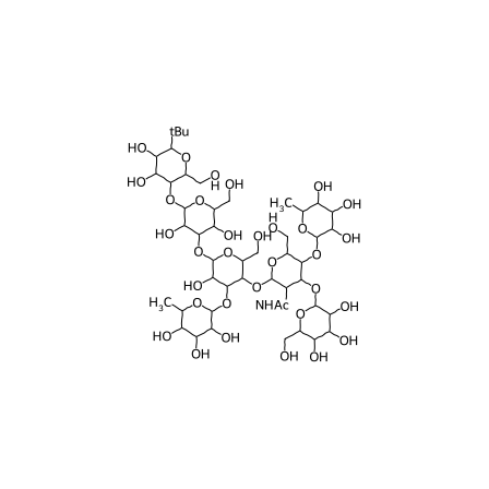 CC(=O)NC1C(OC2C(CO)OC(OC3C(O)C(CO)OC(OC4C(CO)OC(C(C)(C)C)C(O)C4O)C3O)C(O)C2OC2OC(C)C(O)C(O)C2O)OC(CO)C(OC2OC(C)C(O)C(O)C2O)C1OC1OC(CO)C(O)C(O)C1O